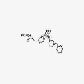 Cl.Cl.Cl.O=C(/C=C/c1cnc(N[C@@H]2CCCN(Cc3ccccn3)C2)cn1)NO